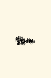 CCC(C)n1c(=O)c(NCc2ccc(S(=O)(=O)CC)cn2)nc2cnc(-c3c(C)ncnc3C3CC3)nc21